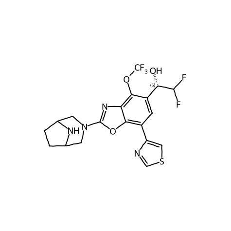 O[C@@H](c1cc(-c2cscn2)c2oc(N3CC4CCC(C3)N4)nc2c1OC(F)(F)F)C(F)F